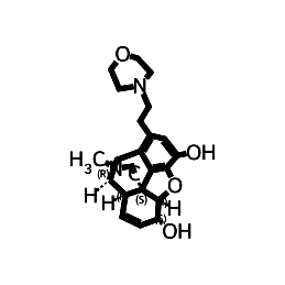 CN1CC[C@]23c4c5c(CCN6CCOCC6)cc(O)c4O[C@H]2[C@@H](O)C=C[C@H]3[C@H]1C5